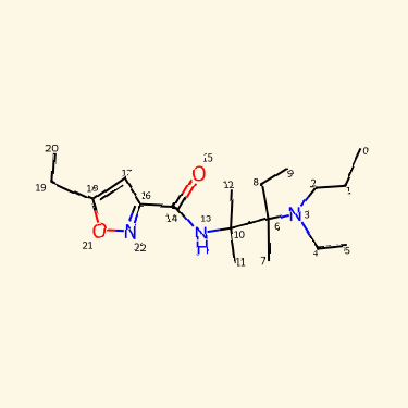 CCCN(CC)C(C)(CC)C(C)(C)NC(=O)c1cc(CC)on1